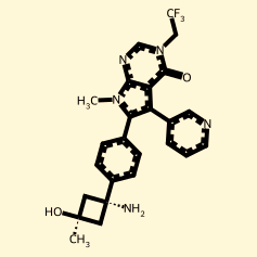 Cn1c(-c2ccc([C@]3(N)C[C@](C)(O)C3)cc2)c(-c2cccnc2)c2c(=O)n(CC(F)(F)F)cnc21